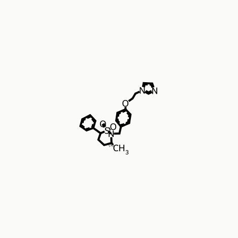 C[C@H]1CCC(c2ccccc2)S(=O)(=O)N1Cc1ccc(OCCn2ccnc2)cc1